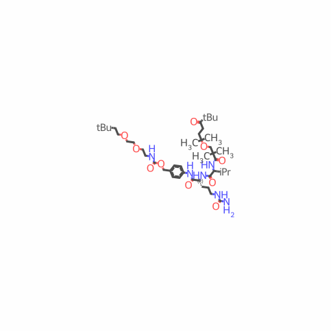 CC(C)C(NC(=O)C(C)(C)COC(C)(C)CCC(=O)C(C)(C)C)C(=O)N[C@H](CCCNC(N)=O)C(=O)Nc1ccc(COC(=O)NCCOCCOCCC(C)(C)C)cc1